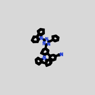 N#Cc1cccc(-c2cc(-c3nc(-c4ccccc4)nc(-n4c5ccccc5c5ccccc54)n3)ccc2-n2c3ccccc3c3ccccc32)c1